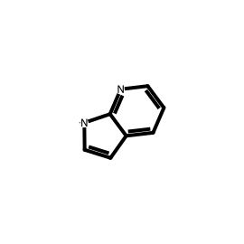 C1=Cc2cccnc2[N]1